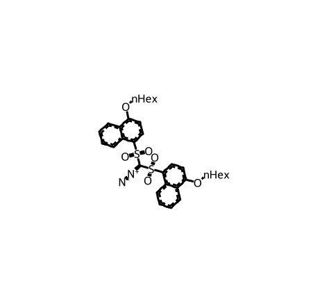 CCCCCCOc1ccc(S(=O)(=O)C(=[N+]=[N-])S(=O)(=O)c2ccc(OCCCCCC)c3ccccc23)c2ccccc12